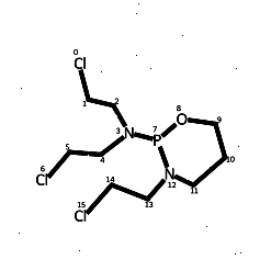 ClCCN(CCCl)P1OCCCN1CCCl